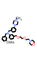 COc1cccc(CN(Cc2cccc(N3CCN(C)CC3)c2)c2cccc(COCCOCCN3CCOCC3)c2)c1